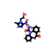 Cc1ncc([N+](=O)[O-])n1CCO.NC(=O)N1c2ccccc2CC(=O)c2ccccc21